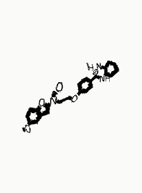 COc1ccc2oc(N(C=O)CCOc3ccc(C(=O)Nc4ccccc4N)cc3)cc2c1